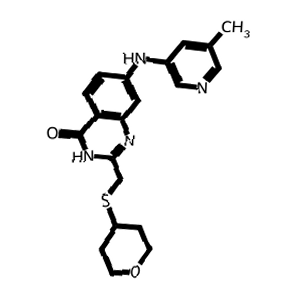 Cc1cncc(Nc2ccc3c(=O)[nH]c(CSC4CCOCC4)nc3c2)c1